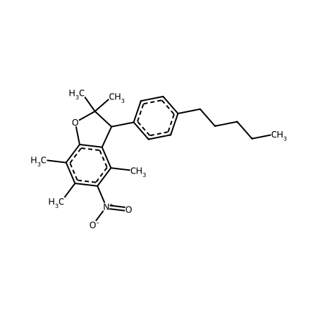 CCCCCc1ccc(C2c3c(C)c([N+](=O)[O-])c(C)c(C)c3OC2(C)C)cc1